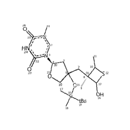 Cc1cn([C@H]2CC(C[C@@]3(C)C(C)SC3O)(O[Si](C)(C)C(C)(C)C)CO2)c(=O)[nH]c1=O